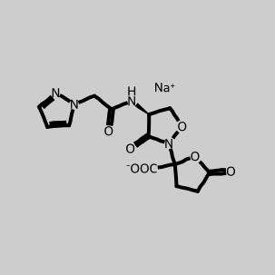 O=C(Cn1cccn1)N[C@H]1CON(C2(C(=O)[O-])CCC(=O)O2)C1=O.[Na+]